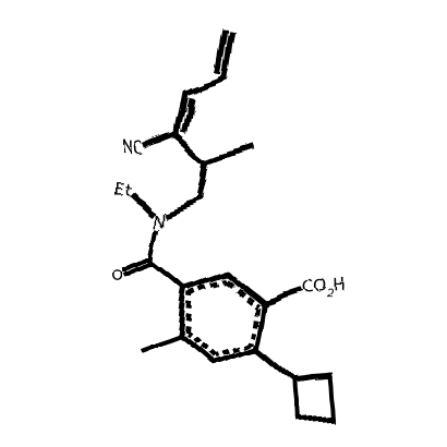 C=C/C=C(/C#N)C(C)CN(CC)C(=O)c1cc(C(=O)O)c(C2CCC2)cc1C